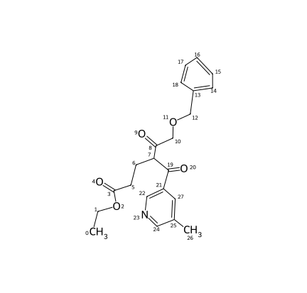 CCOC(=O)CCC(C(=O)COCc1ccccc1)C(=O)c1cncc(C)c1